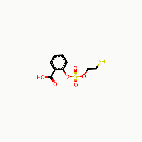 O=C(O)c1ccccc1OS(=O)(=O)OCCS